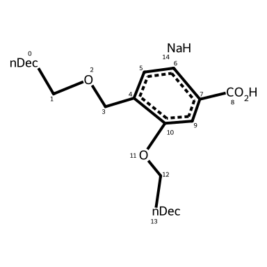 CCCCCCCCCCCOCc1ccc(C(=O)O)cc1OCCCCCCCCCCC.[NaH]